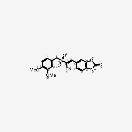 COc1ccc(CS(=O)(=O)/C(C#N)=C/c2ccc3[nH]c(=O)oc3c2)cc1OC